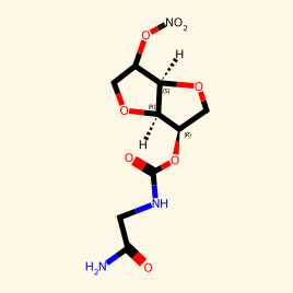 NC(=O)CNC(=O)O[C@@H]1CO[C@@H]2C(O[N+](=O)[O-])CO[C@@H]21